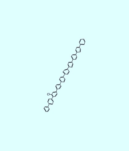 Clc1cc(-c2ccc(-c3ccc(-c4ccc(-c5ccc(-c6ccc(-c7ccc(-c8ccccc8)cc7)cc6)cc5)cc4)cc3)cc2)ccc1-c1ccc(-c2ccccc2)cc1